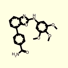 COc1cc(Nc2nc3cccc(-c4ccc(C(N)=O)cc4)c3o2)cc(OC)c1OC